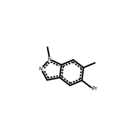 Cc1cc2c(cnn2C)cc1C(C)C